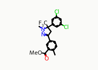 COC(=O)c1cc(C2=NN(C)C(c3cc(Cl)cc(Cl)c3)(C(F)(F)F)C2)ccc1C